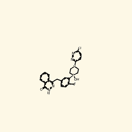 O=c1[nH]nc(Cc2ccc(F)c([P]3(O)CCN(c4ccc(Cl)nn4)CC3)c2)c2ccccc12